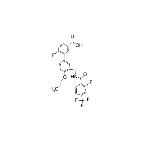 CCCOc1ccc(-c2cc(C(=O)O)ccc2F)cc1CNC(=O)c1ccc(C(F)(F)F)cc1F